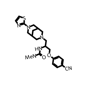 CNC(=O)NC(COc1ccc(C#N)cc1)CN1CC2CC(C1)CN(c1nccs1)C2